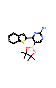 CC1(C)OB(c2cnc(N)nc2-c2cc3ccccc3s2)OC1(C)C